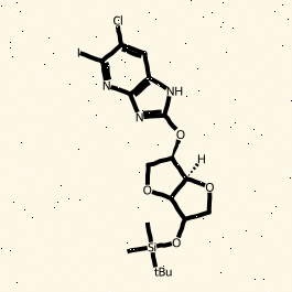 CC(C)(C)[Si](C)(C)OC1CO[C@H]2C1OC[C@H]2Oc1nc2nc(I)c(Cl)cc2[nH]1